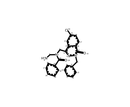 NCN(Cc1nn(Cc2ccccc2)c(=O)c2ccc(Cl)cc12)C(=O)c1ccccc1